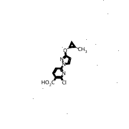 C[C@H]1C[C@H]1Oc1ccn(-c2ccc(C(=O)O)c(Cl)n2)n1